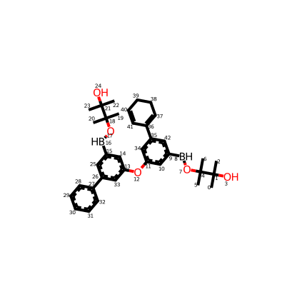 CC(C)(O)C(C)(C)OBc1cc(Oc2cc(BOC(C)(C)C(C)(C)O)cc(-c3ccccc3)c2)cc(C2=CCCC=C2)c1